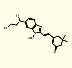 CCCCn1c(/C=C/C2=CC(=O)CC(C)(C)C2)nc2ccc(N(CC)CCO)cc21